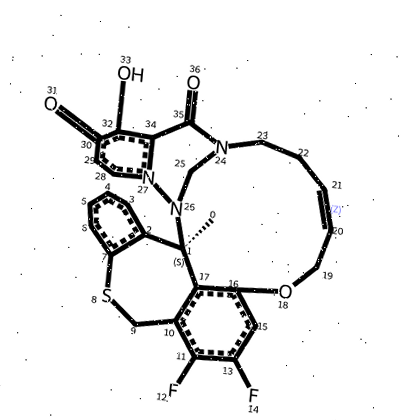 C[C@@]12c3ccccc3SCc3c(F)c(F)cc(c31)OC/C=C\CCN1CN2n2ccc(=O)c(O)c2C1=O